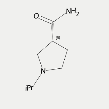 CC(C)N1CC[C@@H](C(N)=O)C1